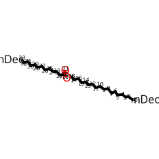 CCCCCCCCCCCCCCCCCCCCCCCCCCCCOC(=O)CCCCCCCCCCCCCCCCCCCCC